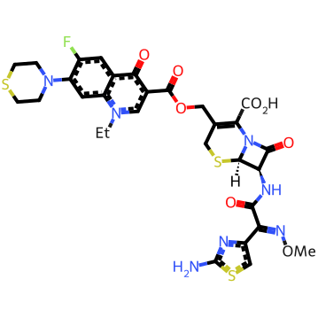 CCn1cc(C(=O)OCC2=C(C(=O)O)N3C(=O)[C@@H](NC(=O)C(=NOC)c4csc(N)n4)[C@H]3SC2)c(=O)c2cc(F)c(N3CCSCC3)cc21